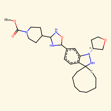 CC(C)(C)OC(=O)N1CCC(C2NOC(c3ccc4c(c3)N([C@@H]3CCOC3)NC43CCCCCCCC3)N2)CC1